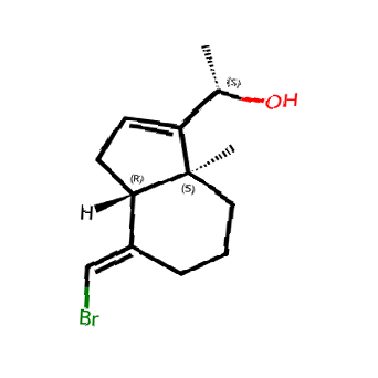 C[C@H](O)C1=CC[C@H]2C(=CBr)CCC[C@]12C